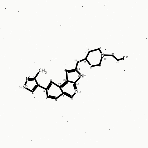 Cc1n[nH]cc1-c1ccc2cnc3[nH]c(CC4CCN(CCF)CC4)cc3c2c1